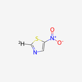 [2H]c1ncc([N+](=O)[O-])s1